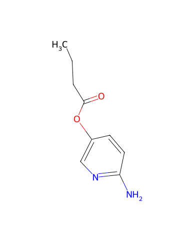 CCCC(=O)Oc1ccc(N)nc1